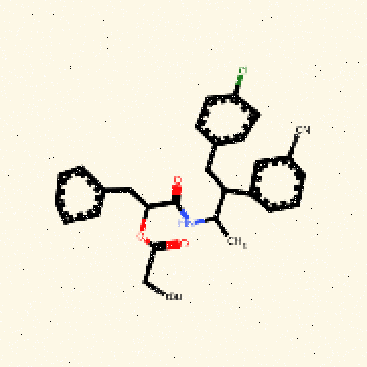 CC(NC(=O)C(Cc1ccccc1)OC(=O)CC(C)(C)C)C(Cc1ccc(Cl)cc1)c1cccc(C#N)c1